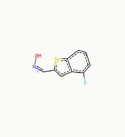 O/N=C\c1cc2c(F)cccc2s1